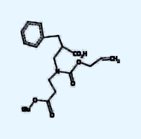 C=CCOC(=O)N(CCC(=O)OC(C)(C)C)CC(Cc1ccccc1)C(=O)O